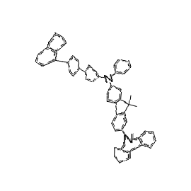 CC1(C)c2cc(N(c3ccccc3)c3ccc(-c4ccc(-c5cccc6ccccc56)cc4)cc3)ccc2-c2ccc(-n3c4ccccc4c4ccccc43)cc21